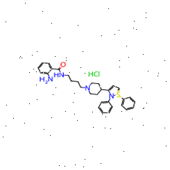 Cl.Nc1ccccc1C(=O)NCCCCN1CCC(C2=CC=S(c3ccccc3)N2c2ccccc2)CC1